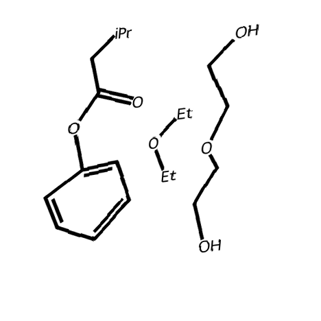 CC(C)CC(=O)Oc1ccccc1.CCOCC.OCCOCCO